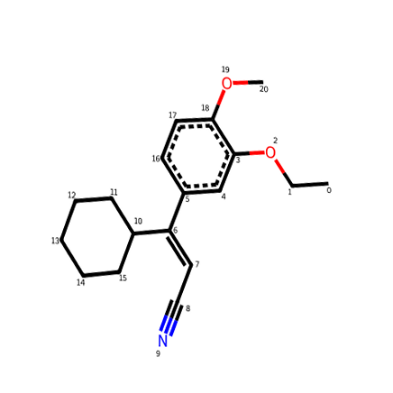 CCOc1cc(C(=CC#N)C2CCCCC2)ccc1OC